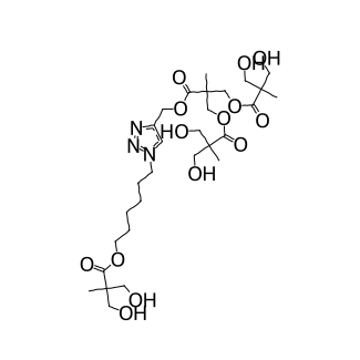 CC(CO)(CO)C(=O)OCCCCCCn1cc(COC(=O)C(C)(COC(=O)C(C)(CO)CO)COC(=O)C(C)(CO)CO)nn1